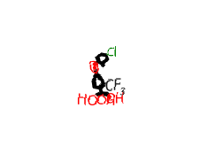 OCC(O)(CO)c1ccc(Oc2ccc(Cl)cc2)cc1C(F)(F)F